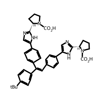 CC(C)(C)c1ccc(C(=Cc2ccc(-c3cnc([C@@H]4CCCN4C(=O)O)[nH]3)cc2)c2ccc(-c3cnc([C@@H]4CCCN4C(=O)O)[nH]3)cc2)cc1